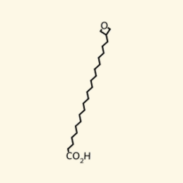 O=C(O)CCCCCCCCCCCCCCCCCCCCC1COC1